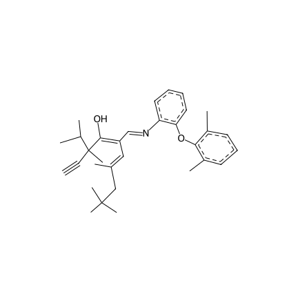 C#CC(C)(/C(O)=C(/C=N/c1ccccc1Oc1c(C)cccc1C)\C=C(/C)CC(C)(C)C)C(C)C